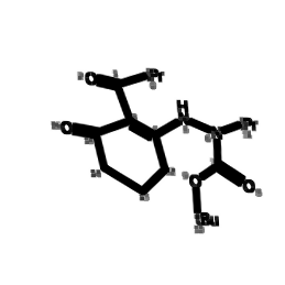 CC(C)C(=O)C1=C(NN(C(=O)OC(C)(C)C)C(C)C)CCCC1=O